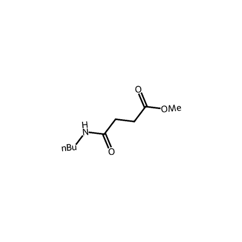 CCCCNC(=O)CCC(=O)OC